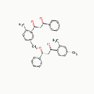 Cc1ccc(C(=O)CC(=O)c2ccccc2)c(C)c1.Cc1ccc(C)c(C(=O)CC(=O)c2ccccc2)c1